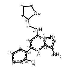 Bc1cnn2c(NC[C@@H]3CCCO3)cc(-c3ccccc3Cl)nc12